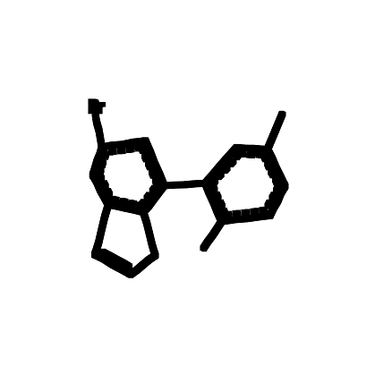 Cc1ccc(C)c(-c2cc(Br)cc3c2CC=C3)c1